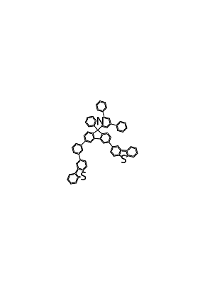 c1ccc(-c2cc(-c3ccccc3)nc(C3(c4ccccc4)c4ccc(-c5cccc(-c6ccc7sc8ccccc8c7c6)c5)cc4-c4cc(-c5ccc6sc7ccccc7c6c5)ccc43)c2)cc1